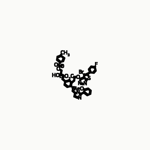 CCOC(=O)[C@@H](Cc1cc(CC[C@H](O)COS(=O)(=O)c2ccc(C)cc2)ccc1OCc1ccnc(-c2ccccc2OC)n1)Oc1ncnc2sc(-c3ccc(F)cc3)c(Br)c12